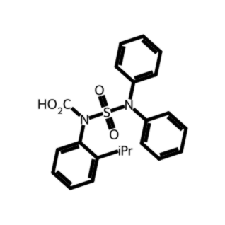 CC(C)c1ccccc1N(C(=O)O)S(=O)(=O)N(c1ccccc1)c1ccccc1